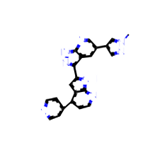 Cn1cc(-c2cnc3[nH]nc(-c4cc5c(-c6ccncc6)ccnc5[nH]4)c3c2)cn1